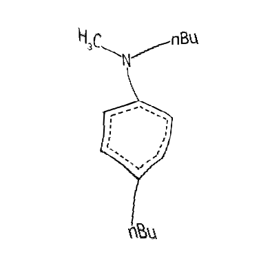 CCCCc1ccc(N(C)CCCC)cc1